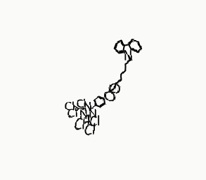 ClC(Cl)(Cl)c1nc(-c2ccc(OCOCCCCCCn3c4ccccc4c4ccccc43)cc2)nc(C(Cl)(Cl)Cl)n1